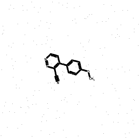 COc1ccc(-c2ccnnc2C#N)cc1